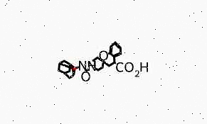 O=C(O)[C@@H]1CC2(CCN(C(=O)NC3C4CC5CC(C4)CC3C5)CC2)Oc2ccccc21